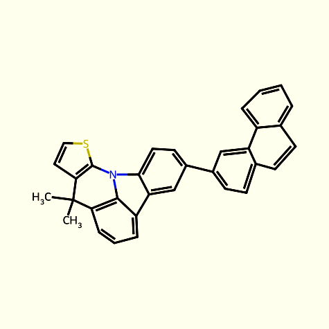 CC1(C)c2ccsc2-n2c3ccc(-c4ccc5ccc6ccccc6c5c4)cc3c3cccc1c32